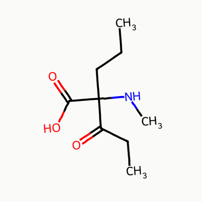 CCCC(NC)(C(=O)O)C(=O)CC